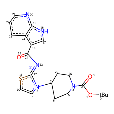 CC(C)(C)OC(=O)N1CCC(n2ccs/c2=N\C(=O)c2c[nH]c3ncccc23)CC1